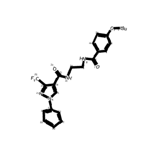 CC(C)(C)Oc1ccc(C(=O)NCCNC(=O)c2cn(-c3ccccc3)nc2C(F)(F)F)cc1